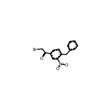 O=C(CBr)c1ccc(Cc2ccccc2)c([N+](=O)[O-])c1